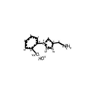 Cl.NCc1cn(-c2ccccc2Cl)nn1